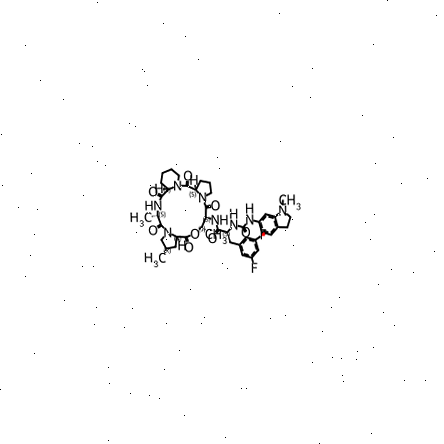 C[C@@H]1C[C@H]2C(=O)O[C@@H](C)[C@H](NC(=O)[C@H](Cc3cc(F)cc(F)c3)NC(=O)Nc3ccc4c(c3)N(C)CC4)C(=O)N3CCC[C@H]3C(=O)N3CCCC[C@H]3C(=O)N[C@@H](C)C(=O)N2C1